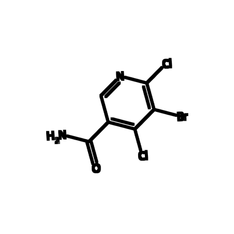 NC(=O)c1cnc(Cl)c(Br)c1Cl